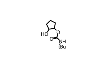 CC(C)(C)NC(=O)OC1CCCC1O